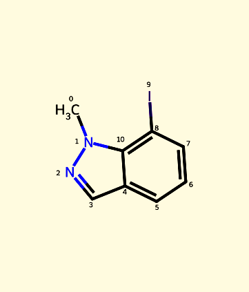 Cn1ncc2cccc(I)c21